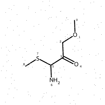 COCC(=O)C(N)SC